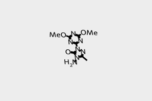 COc1nc(OC)nc(-n2nc(C)n(N)c2=O)n1